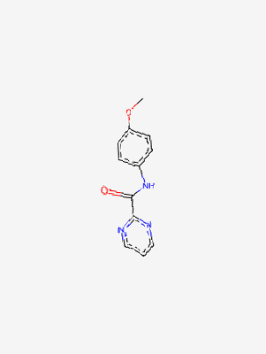 COc1ccc(NC(=O)c2ncccn2)cc1